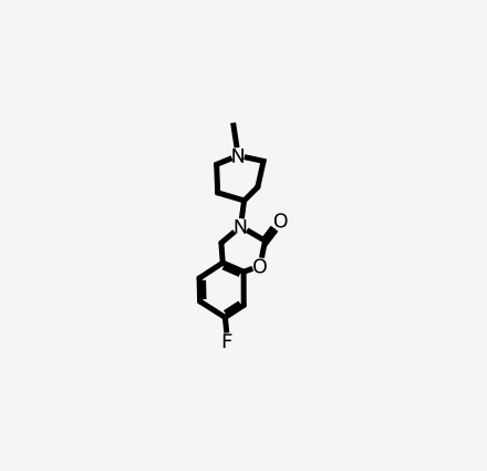 CN1CCC(N2Cc3ccc(F)cc3OC2=O)CC1